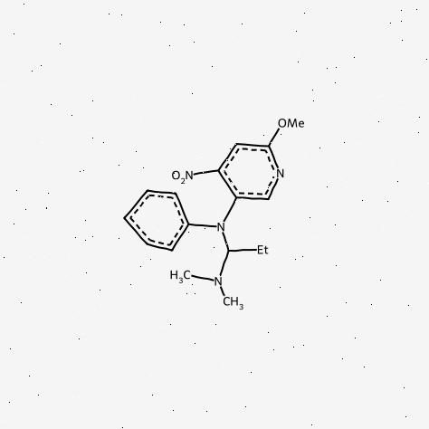 CCC(N(C)C)N(c1ccccc1)c1cnc(OC)cc1[N+](=O)[O-]